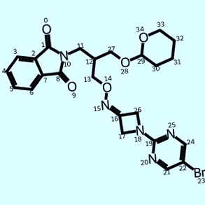 O=C1c2ccccc2C(=O)N1CC(CON=C1CN(c2ncc(Br)cn2)C1)COC1CCCCO1